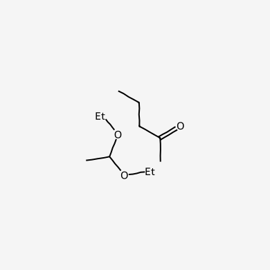 CCCC(C)=O.CCOC(C)OCC